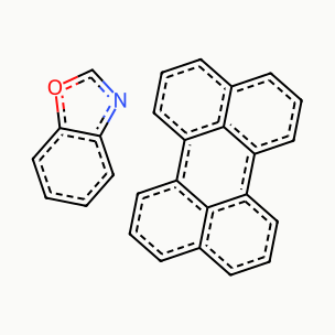 c1cc2cccc3c4cccc5cccc(c(c1)c23)c54.c1ccc2ocnc2c1